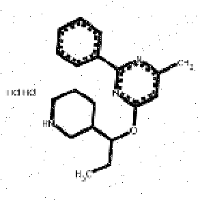 CCC(Oc1cc(C)nc(-c2ccccc2)n1)C1CCCNC1.Cl.Cl